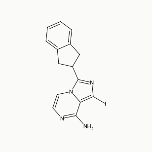 Nc1nccn2c(C3Cc4ccccc4C3)nc(I)c12